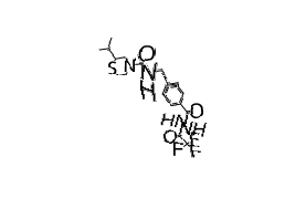 CC(C)C1CN(C(=O)NCc2ccc(C(=O)NNC(=O)C(F)(F)F)cc2)CCS1